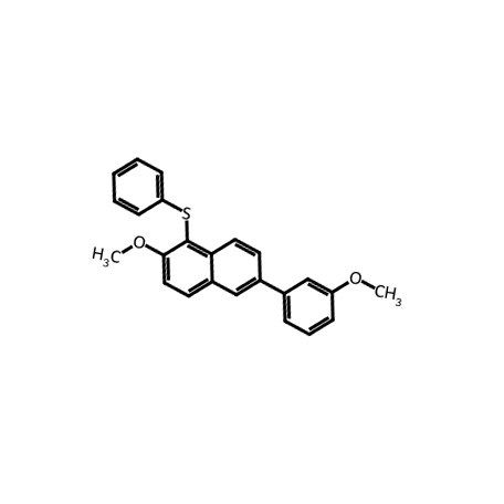 COc1cccc(-c2ccc3c(Sc4ccccc4)c(OC)ccc3c2)c1